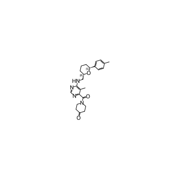 Cc1ccc([C@@H]2CCC[C@H](CNc3ncnc(C(=O)N4CCC(=O)CC4)c3C)O2)cc1